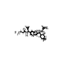 O=C(CCC(F)(F)F)NC(c1cnn2cc([C@@H](NC(=O)[C@H]3C[C@H]3F)C3CCC(F)(F)CC3)nc2c1)C1CC1